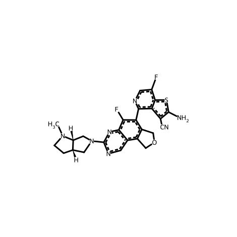 CN1CC[C@H]2CN(c3ncc4c5c(c(-c6ncc(F)c7sc(N)c(C#N)c67)c(F)c4n3)COC5)C[C@H]21